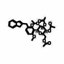 COc1ccc(CC2=Cc3ccccc3C2)cc1[C@@H]1O[C@H](COC(C)=O)[C@@H](OC(C)=O)[C@H](OC(C)=O)[C@H]1OC(C)=O